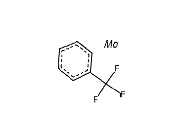 FC(F)(F)c1ccccc1.[Mo]